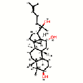 CC(C)=CCC[C@](C)(O)[C@H]1CC[C@]2(C)[C@@H]1[C@H](O)C[C@@H]1[C@@]3(C)CC[C@@H](O)C(C)(C)[C@@H]3CC[C@]12C